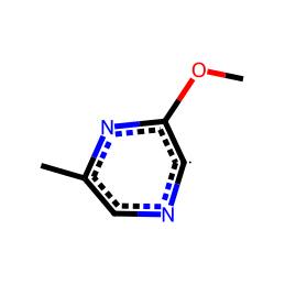 COc1[c]ncc(C)n1